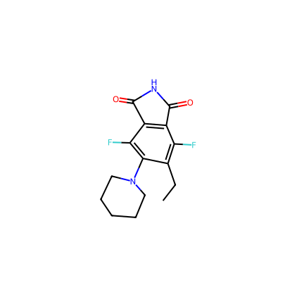 CCc1c(F)c2c(c(F)c1N1CCCCC1)C(=O)NC2=O